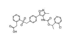 Cc1noc(-c2ccc(CS(=O)(=O)c3ccccc3CC(=O)O)cc2)c1NC(=O)OC(C)c1ccccc1Cl